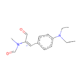 CCN(CC)c1ccc(/C=C(\C=O)N(C)C=O)cc1